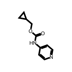 O=C(Nc1ccncc1)OCC1CC1